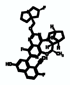 C#Cc1c(F)ccc2cc(O)cc(-c3nc4c5c(nc(OC[C@@]67CCCN6C[C@H](F)C7)nc5c3F)N3C[C@H]5CC[C@H](N5)[C@H]3[C@H](C)O4)c12